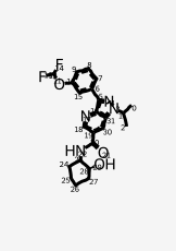 CC(C)n1nc(-c2cccc(OC(F)F)c2)c2ncc(C(=O)NC3CCCC[C@@H]3O)cc21